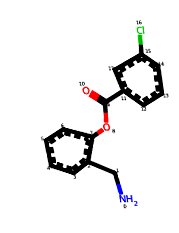 NCc1ccccc1OC(=O)c1cccc(Cl)c1